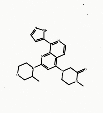 CC1COCCN1c1cc(N2CCN(C)C(=O)C2)c2ccnc(-c3ccn[nH]3)c2n1